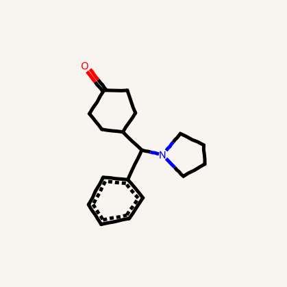 O=C1CCC(C(c2ccccc2)N2CCCC2)CC1